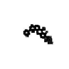 CCCS(=O)(=O)Nc1ccc(F)c(C(=O)c2ccc3ncc(-c4cccnc4)nc3c2)c1F